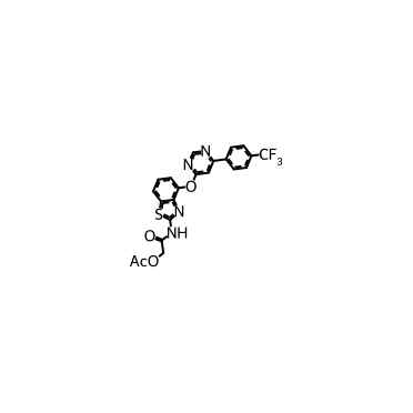 CC(=O)OCC(=O)Nc1nc2c(Oc3cc(-c4ccc(C(F)(F)F)cc4)ncn3)cccc2s1